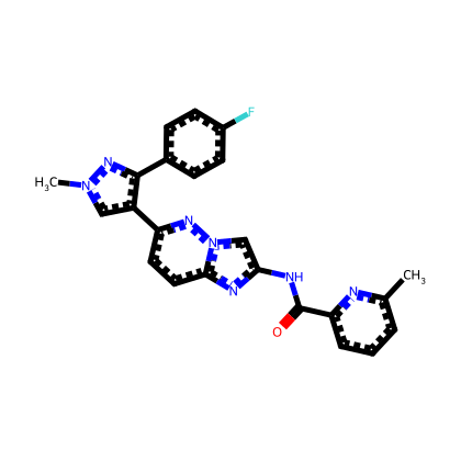 Cc1cccc(C(=O)Nc2cn3nc(-c4cn(C)nc4-c4ccc(F)cc4)ccc3n2)n1